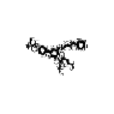 CCCCC(Oc1ccc(-c2ccc(OC(F)(F)F)cc2)cc1OCCCCc1ccccc1)C(=O)OCC